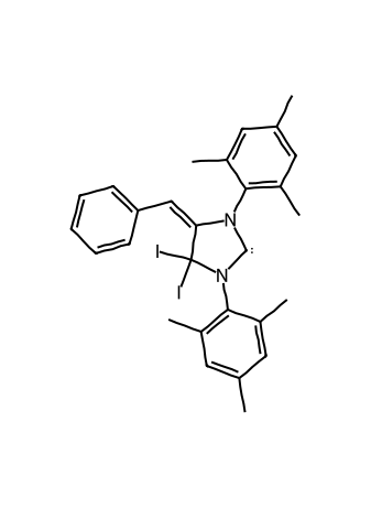 Cc1cc(C)c(N2[C]N(c3c(C)cc(C)cc3C)C(I)(I)C2=Cc2ccccc2)c(C)c1